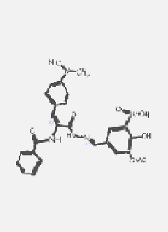 COc1cc(/C=N/NC(=O)/C(=C\c2ccc(N(C)C)cc2)NC(=O)c2ccccc2)cc([N+](=O)O)c1O